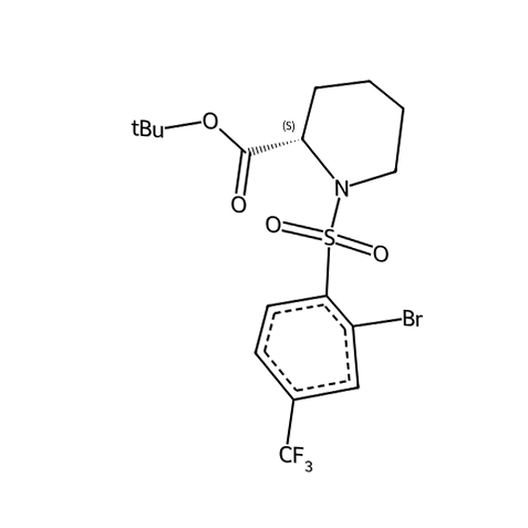 CC(C)(C)OC(=O)[C@@H]1CCCCN1S(=O)(=O)c1ccc(C(F)(F)F)cc1Br